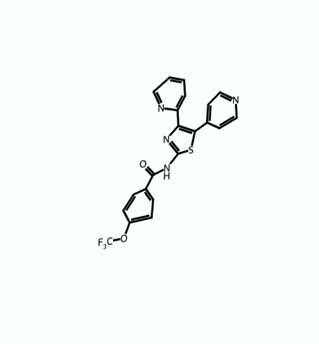 O=C(Nc1nc(-c2ccccn2)c(-c2ccncc2)s1)c1ccc(OC(F)(F)F)cc1